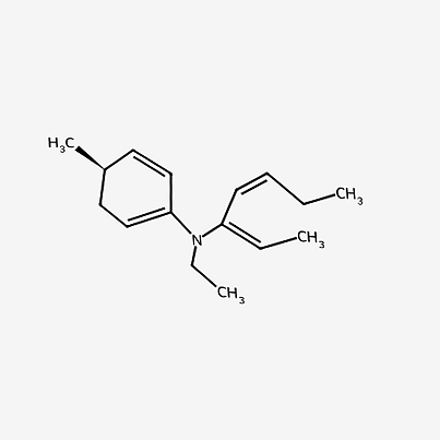 C/C=C(\C=C/CC)N(CC)C1=CC[C@@H](C)C=C1